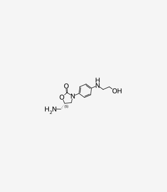 NC[C@H]1CN(c2ccc(NCCO)cc2)C(=O)O1